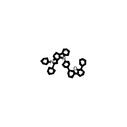 c1ccc(-c2cccc3c2oc2c(-c4ccc(-n5c6ccccc6c6ccc7c(cc(-c8ccccc8)n7-c7ccccc7)c65)cc4)cccc23)cc1